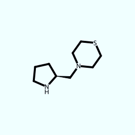 C1CN[C@H](CN2CCSCC2)C1